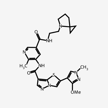 COc1nn(C)cc1-c1cn2ncc(C(=O)Nc3cc(C(=O)NCCN4CCCC45CC5)cnc3C)c2s1